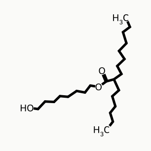 CCCCCCCCC(CCCCCC)C(=O)OCCCCCCCCO